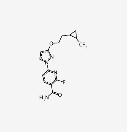 NC(=O)c1ccc(-n2ccc(OCCC3CC3C(F)(F)F)n2)nc1F